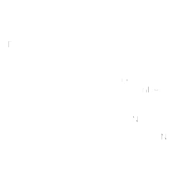 CCCCCCCCCCOC(C=Cc1ccc(F)cc1)Cn1ccnc1